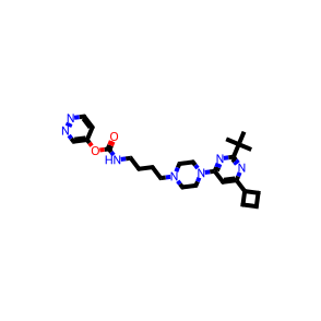 CC(C)(C)c1nc(C2CCC2)cc(N2CCN(CCCCNC(=O)Oc3ccnnc3)CC2)n1